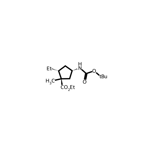 CCOC(=O)[C@]1(C)C[C@@H](NC(=O)OC(C)(C)C)C[C@H]1CC